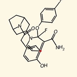 NC(=O)C1=CC=CN(C2CC3CCC(C2)N3C(=O)Cc2ccc(O)cc2)C1(F)Oc1ccc(F)cc1